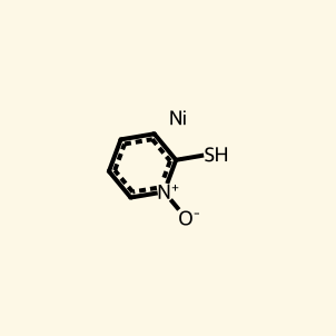 [Ni].[O-][n+]1ccccc1S